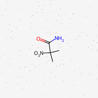 CC(C)(C(N)=O)[N+](=O)[O-]